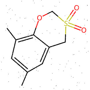 Cc1cc(C)c2c(c1)CS(=O)(=O)CO2